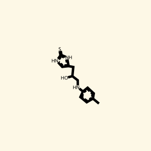 Cc1ccc(NCC(O)Cc2c[nH]c(=S)[nH]2)cc1